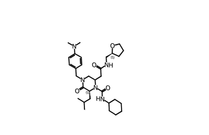 CC(C)C[C@H]1C(=O)N(Cc2ccc(N(C)C)cc2)CC(CC(=O)NC[C@@H]2CCCO2)N1C(=O)NC1CCCCC1